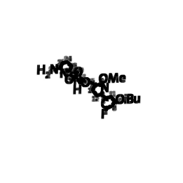 COc1nc(-c2cc(F)cc(OCC(C)C)c2)ccc1COCNS(=O)(=O)c1cccc(N)n1